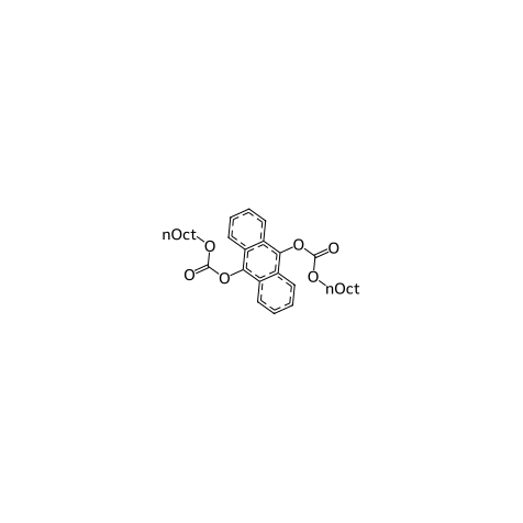 CCCCCCCCOC(=O)Oc1c2ccccc2c(OC(=O)OCCCCCCCC)c2ccccc12